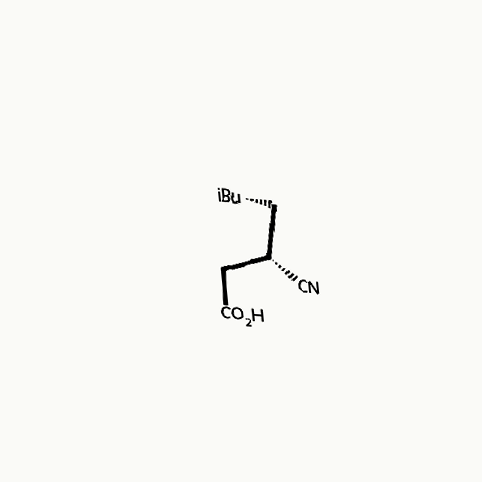 CC[C@@H](C)C[C@H](C#N)CC(=O)O